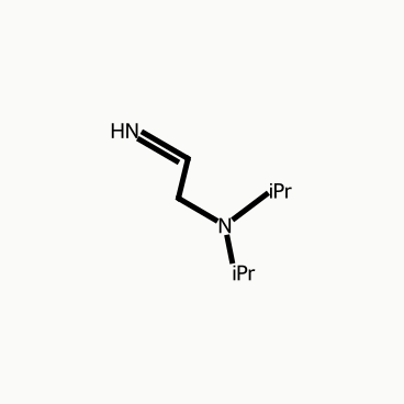 CC(C)N(CC=N)C(C)C